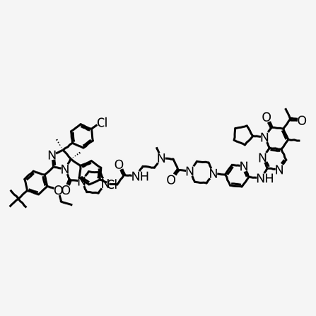 CCOc1cc(C(C)(C)C)ccc1C1=N[C@@](C)(c2ccc(Cl)cc2)[C@@](C)(c2ccc(Cl)cc2)N1C(=O)N1CCN(CC(=O)NCCN(C)CC(=O)N2CCN(c3ccc(Nc4ncc5c(C)c(C(C)=O)c(=O)n(C6CCCC6)c5n4)nc3)CC2)CC1